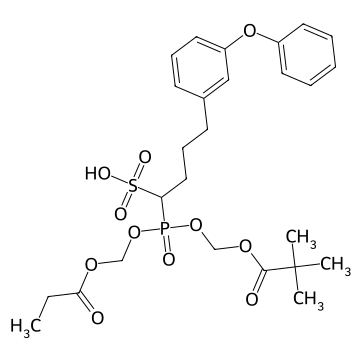 CCC(=O)OCOP(=O)(OCOC(=O)C(C)(C)C)C(CCCc1cccc(Oc2ccccc2)c1)S(=O)(=O)O